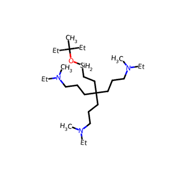 CCN(C)CCCC(CCCN(C)CC)(CCCN(C)CC)CC[SiH2]OC(C)(CC)CC